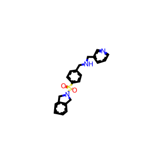 O=S(=O)(c1ccc(CNCc2cccnc2)cc1)N1Cc2ccccc2C1